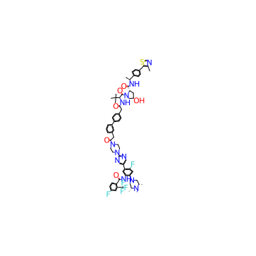 Cc1ncsc1-c1ccc([C@H](C)NC(=O)[C@@H]2C[C@@H](O)CN2C(=O)[C@@H](NC(=O)Cc2ccc(-c3cccc(CC(=O)N4CCN(c5ncc(-c6cc(NC(=O)c7ccc(F)cc7C(F)(F)F)c(N7C[C@@H](C)N(C)[C@@H](C)C7)cc6F)cn5)CC4)c3)cc2)C(C)(C)C)cc1